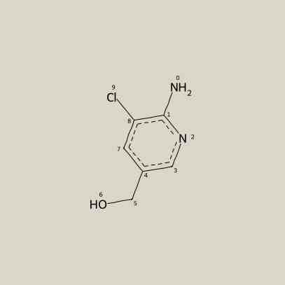 Nc1ncc(CO)cc1Cl